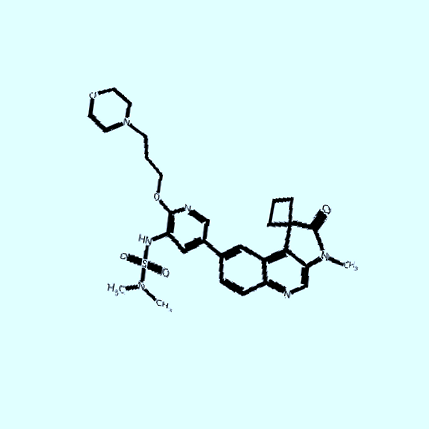 CN1C(=O)C2(CCC2)c2c1cnc1ccc(-c3cnc(OCCCN4CCOCC4)c(NS(=O)(=O)N(C)C)c3)cc21